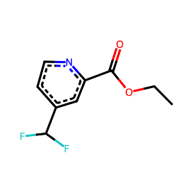 CCOC(=O)c1cc(C(F)F)ccn1